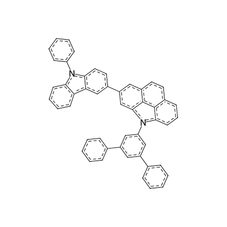 c1ccc(-c2cc(-c3ccccc3)cc(-n3c4cccc5ccc6cc(-c7ccc8c(c7)c7ccccc7n8-c7ccccc7)cc3c6c54)c2)cc1